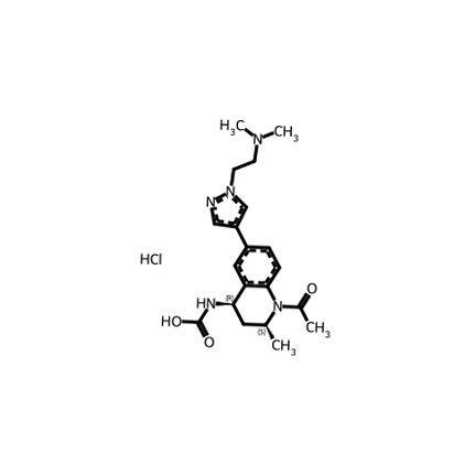 CC(=O)N1c2ccc(-c3cnn(CCN(C)C)c3)cc2[C@H](NC(=O)O)C[C@@H]1C.Cl